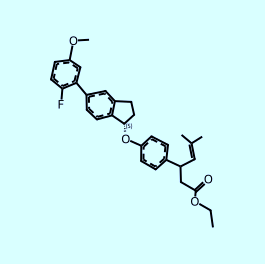 CCOC(=O)CC(C=C(C)C)c1ccc(O[C@H]2CCc3cc(-c4cc(OC)ccc4F)ccc32)cc1